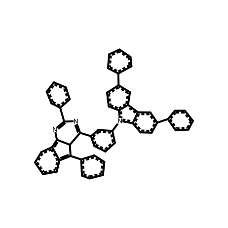 c1ccc(C2=NC3=c4ccccc4=C(c4ccccc4)C3C(c3cccc(-n4c5ccc(-c6ccccc6)cc5c5cc(-c6ccccc6)ccc54)c3)=N2)cc1